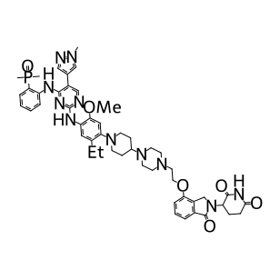 CCc1cc(Nc2ncc(-c3cnn(C)c3)c(Nc3ccccc3P(C)(C)=O)n2)c(OC)cc1N1CCC(N2CCN(CCOc3cccc4c3CN(C3CCC(=O)NC3=O)C4=O)CC2)CC1